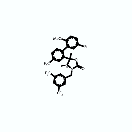 COc1ccc(C(C)C)cc1-c1ccc(C(F)(F)F)cc1C1(C)OC(=O)N(Cc2cc(C(F)(F)F)cc(C(F)(F)F)c2)[C@H]1C